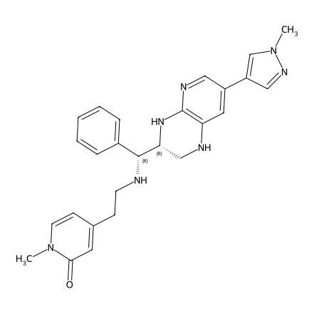 Cn1cc(-c2cnc3c(c2)NC[C@H]([C@H](NCCc2ccn(C)c(=O)c2)c2ccccc2)N3)cn1